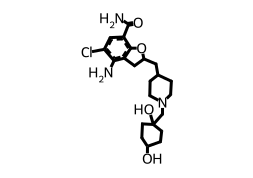 NC(=O)c1cc(Cl)c(N)c2c1OC(CC1CCN(CC3(O)CCC(O)CC3)CC1)C2